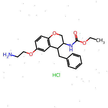 CCOC(=O)NC1COc2ccc(OCCN)cc2C1Cc1ccccc1.Cl